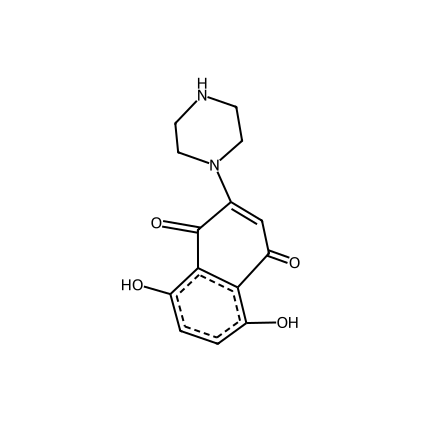 O=C1C=C(N2CCNCC2)C(=O)c2c(O)ccc(O)c21